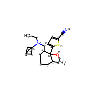 CCN(CC1CCCC(C)C1(OC)c1ccc(C#N)s1)C12CC(C1)C2